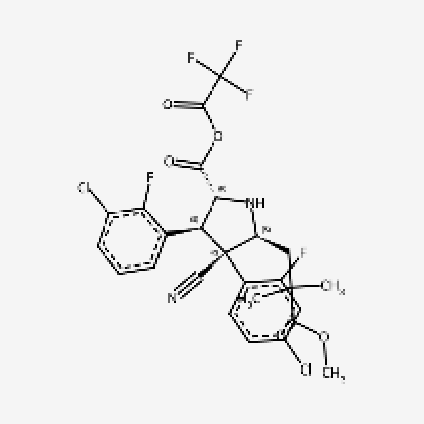 COC(=O)C(C)(C)C[C@@H]1N[C@@H](C(=O)OC(=O)C(F)(F)F)[C@H](c2cccc(Cl)c2F)[C@@]1(C#N)c1ccc(Cl)cc1F